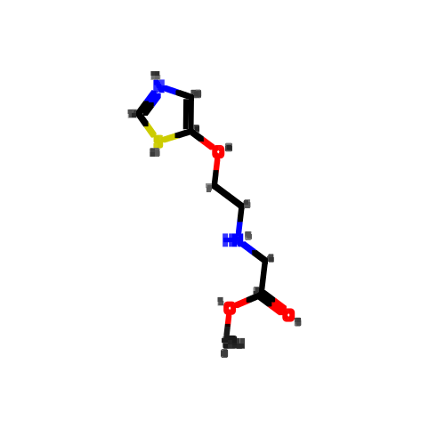 CC(C)(C)OC(=O)CNCCOc1cncs1